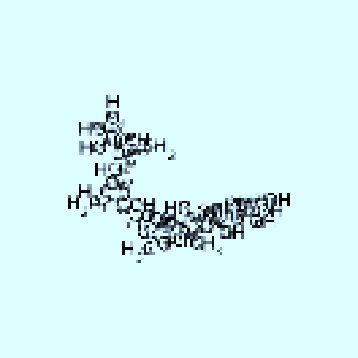 CC[C@H](C)[C@H](C[C@H](O)CC(=O)OC1C(C)OC(C)C(OC2OC(C)C(OC3OCC(O)C(OC4OCC(O)(CO)C4O)C3O)C(O)C2O)C1O)OC(=O)C[C@@H](O)C[C@H](OC1OC(CO)C(O)C1O)[C@@H](C)CC